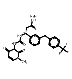 CN1C=CC(=O)C(NC(=O)N[C@@H](CC(=O)O)c2cccc(Cc3ccc(C(F)(F)F)cc3)c2)C1=O.[NaH]